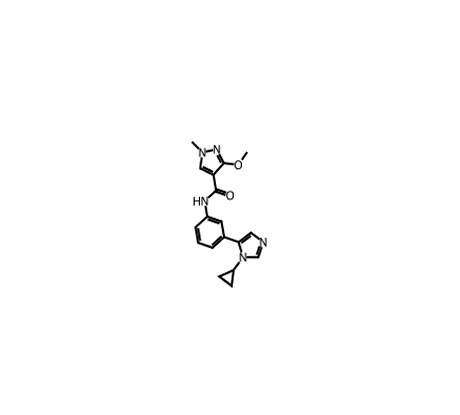 COc1nn(C)cc1C(=O)Nc1cccc(-c2cncn2C2CC2)c1